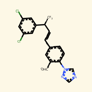 O=Cc1cc(C=CC(c2cc(Cl)cc(Cl)c2)C(F)(F)F)ccc1-n1cncn1